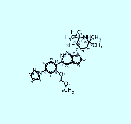 COCOc1cc(-n2ccnn2)ccc1-c1cc2ccn([C@H]3CC(C)(C)NC(C)(C)[C@H]3F)c2nn1